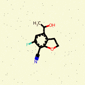 CC(O)c1cc(F)c(C#N)c2c1CCO2